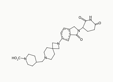 O=C1CCC(N2Cc3ccc(N4CC5(CCN(CC6CCN(C(=O)O)CC6)CC5)C4)cc3C2=O)C(=O)N1